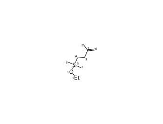 C=C(C)CC[Si](C)(C)OCC